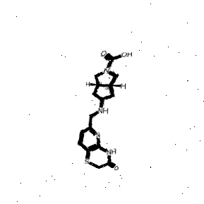 O=C1CSc2ccc(CNC3C[C@@H]4CN(C(=O)O)C[C@@H]4C3)nc2N1